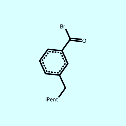 CCCC(C)Cc1cccc(C(=O)Br)c1